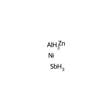 [AlH3].[Ni].[SbH3].[Zn]